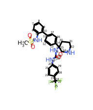 CS(=O)(=O)Nc1ccccc1-c1ccc([C@]2(NC(=O)Nc3ccc(C(F)(F)F)cc3)CCCNC2=O)cc1